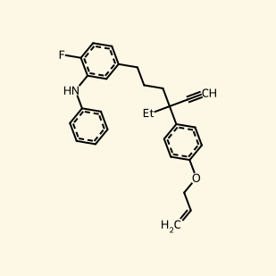 C#CC(CC)(CCCc1ccc(F)c(Nc2ccccc2)c1)c1ccc(OCC=C)cc1